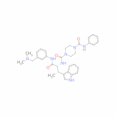 C[C@@H](c1c[nH]c2ccccc12)[C@@H](NC(=O)N1CCN(C(=O)Nc2ccccc2)CC1)C(=O)Nc1cccc(CN(C)C)c1